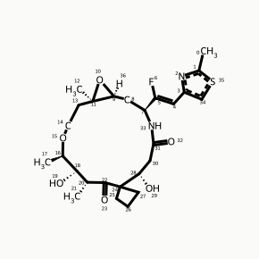 Cc1nc(C=C(F)[C@@H]2C[C@@H]3O[C@]3(C)CCO[C@H](C)[C@@H](O)[C@@H](C)C(=O)C3(CCC3)[C@@H](O)CC(=O)N2)cs1